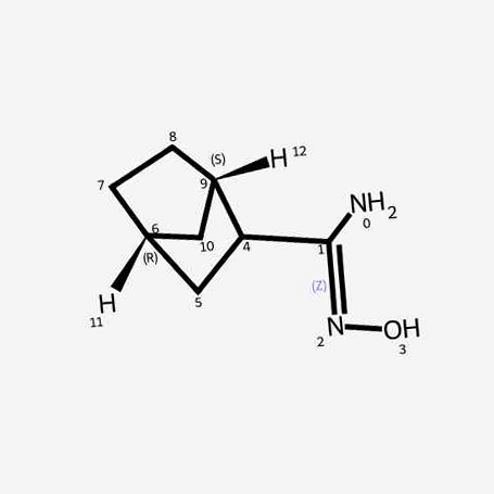 N/C(=N\O)C1C[C@@H]2CC[C@H]1C2